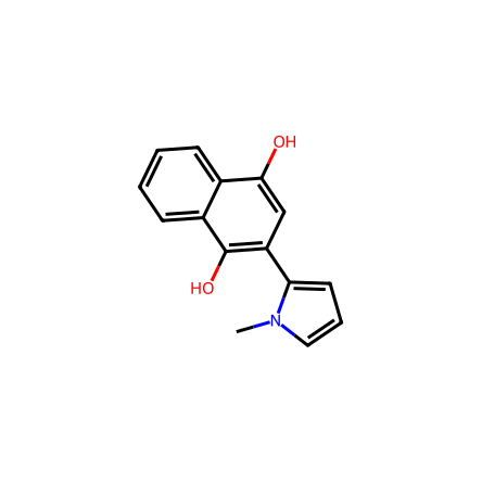 Cn1cccc1-c1cc(O)c2ccccc2c1O